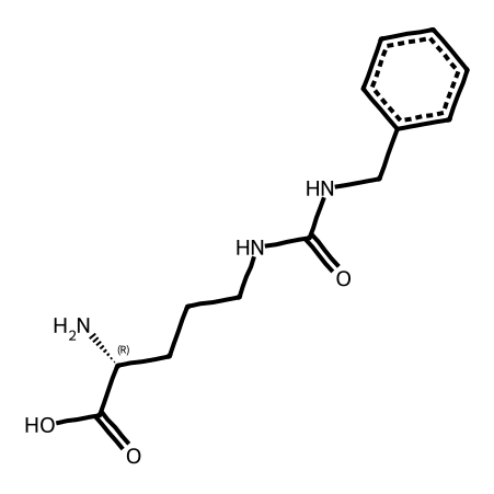 N[C@H](CCCNC(=O)NCc1ccccc1)C(=O)O